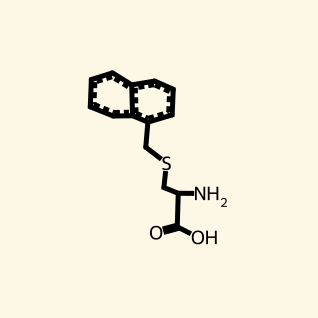 NC(CSCc1cccc2ccccc12)C(=O)O